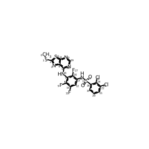 CSc1nc2c(Nc3c(F)c(F)cc(NS(=O)(=O)c4cccc(Cl)c4Cl)c3F)ncnc2s1